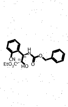 CCOC(=O)[C@@H](O)[C@H](NC(=O)OCc1ccccc1)c1ccccc1C#N